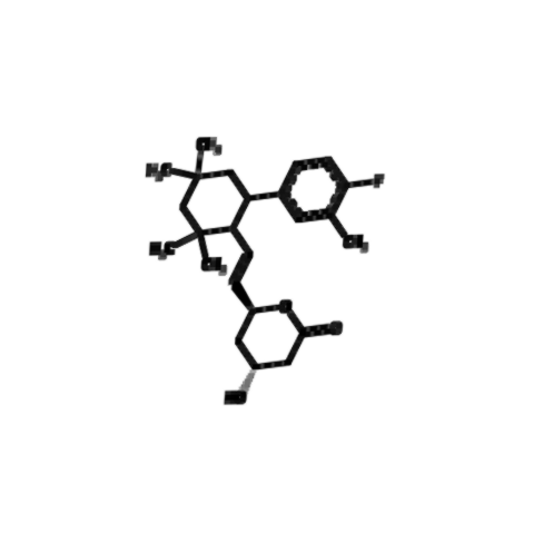 Cc1cc(C2CC(C)(C)CC(C)(C)C2/C=C/[C@@H]2C[C@@H](O)CC(=O)O2)ccc1F